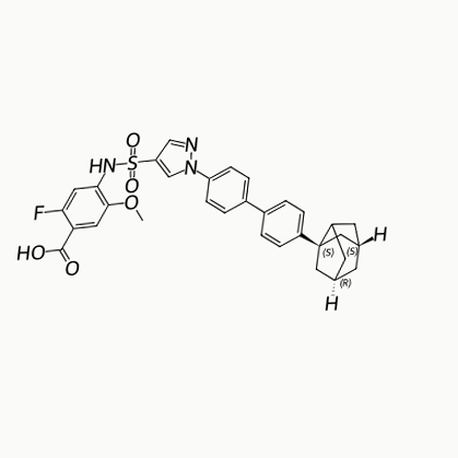 COc1cc(C(=O)O)c(F)cc1NS(=O)(=O)c1cnn(-c2ccc(-c3ccc([C@]45C[C@@H]6CC4C[C@@H](C6)C5)cc3)cc2)c1